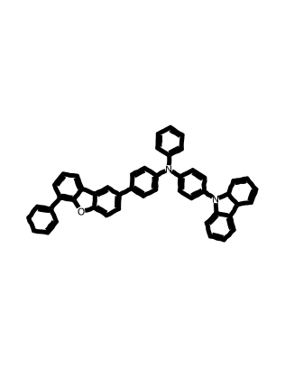 C1=CC2c3ccccc3N(c3ccc(N(c4ccccc4)c4ccc(-c5ccc6oc7c(C8=CCCC=C8)cccc7c6c5)cc4)cc3)C2C=C1